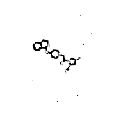 N#C[C@@H]1C[C@H](F)CN1C(=O)CN1CCC(Oc2nccc3ccccc23)CC1